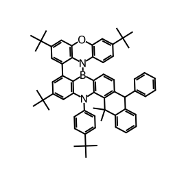 CC(C)(C)c1ccc(N2c3cc(C(C)(C)C)cc4c3B(c3ccc5c(c32)C(C)(C)c2ccccc2C5c2ccccc2)N2c3ccc(C(C)(C)C)cc3Oc3cc(C(C)(C)C)cc-4c32)cc1